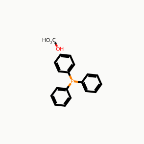 O=C(O)O.c1ccc(P(c2ccccc2)c2ccccc2)cc1